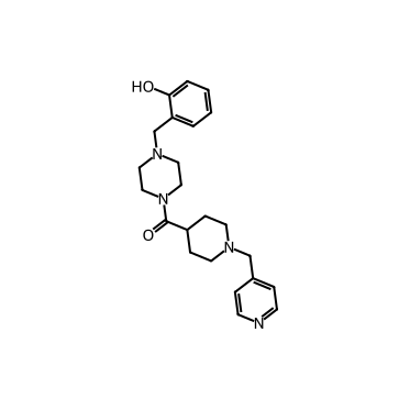 O=C(C1CCN(Cc2ccncc2)CC1)N1CCN(Cc2ccccc2O)CC1